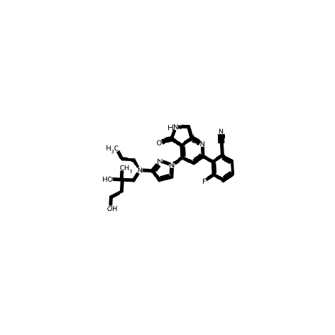 CCCN(CC(C)(O)CCO)c1ccn(-c2cc(-c3c(F)cccc3C#N)nc3c2C(=O)NC3)n1